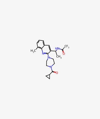 Cc1cccc2cc(C(C)NC(=O)C(F)(F)F)c(N3CCN(C(=O)C4CC4)CC3)nc12